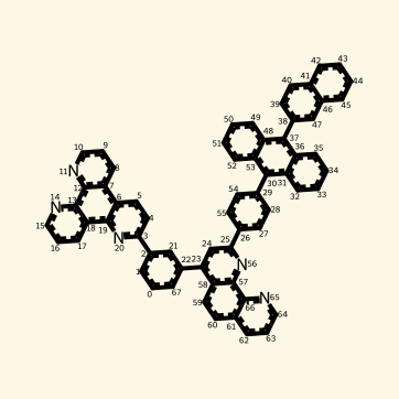 c1cc(-c2ccc3c4cccnc4c4ncccc4c3n2)cc(-c2cc(-c3ccc(-c4c5ccccc5c(-c5ccc6ccccc6c5)c5ccccc45)cc3)nc3c2ccc2cccnc23)c1